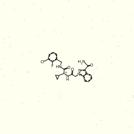 NC(=O)c1nn(CC(=O)N[C@H](C(=O)NCc2cccc(Cl)c2F)C2CC2)c2ccccc12